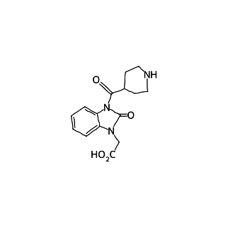 O=C(O)Cn1c(=O)n(C(=O)C2CCNCC2)c2ccccc21